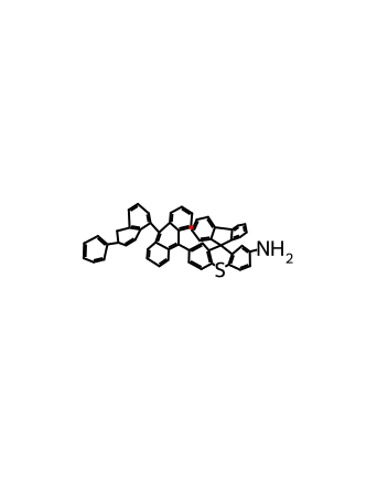 Nc1ccc2c(c1)C1(c3cc(-c4c5ccccc5c(-c5cccc6c5C=CC(c5ccccc5)C6)c5ccccc45)ccc3S2)c2ccccc2-c2ccccc21